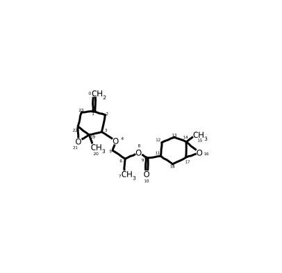 C=C1CC(OCC(C)OC(=O)C2CCC3(C)OC3C2)C2(C)OC2C1